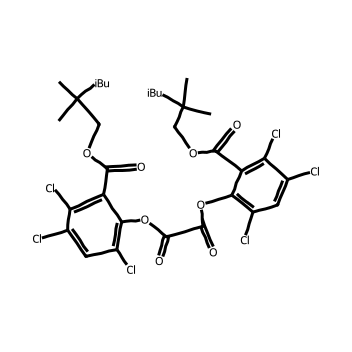 CCC(C)C(C)(C)COC(=O)c1c(Cl)c(Cl)cc(Cl)c1OC(=O)C(=O)Oc1c(Cl)cc(Cl)c(Cl)c1C(=O)OCC(C)(C)C(C)CC